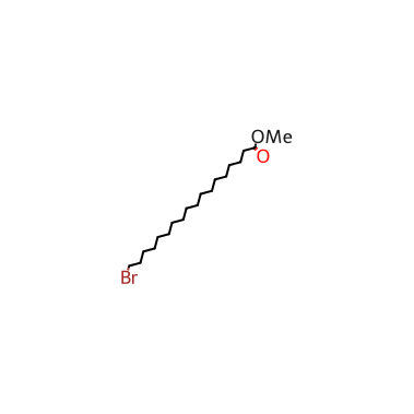 COC(=O)CCCCCCCCCCCCCCCCCBr